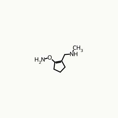 CNCC1=C(ON)CCC1